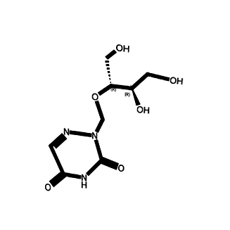 O=c1cnn(CO[C@H](CO)[C@H](O)CO)c(=O)[nH]1